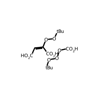 CC(C)(C)OO/C(=C/C(=O)O)C(=O)O.CC(C)(C)OOOC(=O)O